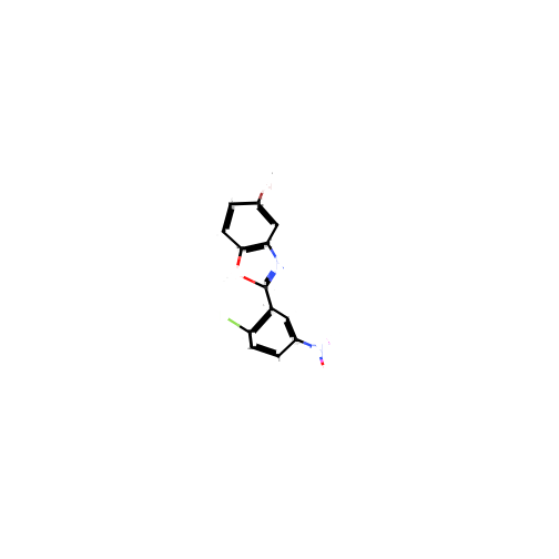 O=[N+]([O-])c1ccc(F)c(-c2nc3cc(Br)ccc3o2)c1